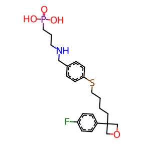 O=P(O)(O)CCCNCc1ccc(SCCCCC2(c3ccc(F)cc3)COC2)cc1